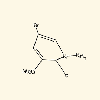 COC1=CC(Br)=CN(N)C1F